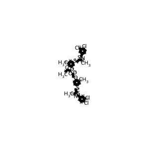 CCC(Oc1ccc(SCc2sc(-c3ccc(Cl)c(Cl)c3)nc2C)cc1C)C(=O)OC(=O)COc1ccc(SCc2sc(-c3ccc(Cl)c(Cl)c3)nc2C)cc1C